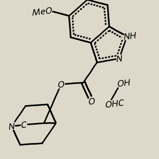 COc1ccc2[nH]nc(C(=O)OC3CN4CCC3CC4)c2c1.O=CO